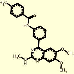 CNc1nc(-c2cccc(NC(=S)c3ccc(C)cc3)c2)c2cc(OC)c(OC)cc2n1